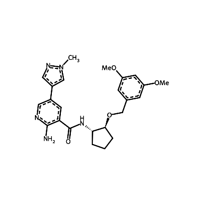 COc1cc(CO[C@H]2CCC[C@@H]2NC(=O)c2cc(-c3cnn(C)c3)cnc2N)cc(OC)c1